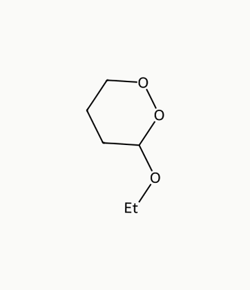 CCOC1CCCOO1